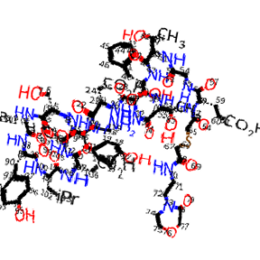 CC[C@H](C)[C@H](NC(=O)[C@H](CO)NC(=O)[C@H](Cc1ccc(O)cc1)NC(=O)[C@H](CC(=O)O)NC(=O)[C@H](CO)NC(=O)[C@@H](NC(=O)[C@H](Cc1ccccc1)NC(=O)[C@@H](NC(=O)CNC(=O)[C@H](CCC(=O)O)NC(=O)CSCC(=O)NCCN1CCOCC1=O)[C@@H](C)O)[C@@H](C)O)C(=O)N[C@@H](Cc1ccc(O)cc1)C(=O)N[C@@H](CC(C)C)C(=O)N[C@@H](CC(=O)O)C(=O)N[C@H](C)CCCCN